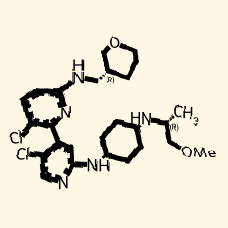 COC[C@@H](C)N[C@H]1CC[C@H](Nc2cc(-c3nc(NC[C@H]4CCCOC4)ccc3Cl)c(Cl)cn2)CC1